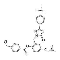 CN(C)C.O=C(Oc1ccc(Cl)cc1Cn1nc(-c2ccc(C(F)(F)F)cc2)oc1=O)c1ccc(CCl)cc1